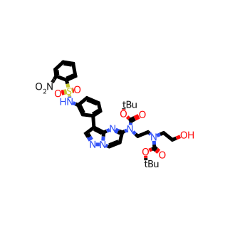 CC(C)(C)OC(=O)N(CCO)CCN(C(=O)OC(C)(C)C)c1ccn2ncc(-c3cccc(NS(=O)(=O)c4ccccc4[N+](=O)[O-])c3)c2n1